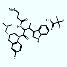 CSCCC(=O)NC(C(=O)N1C[C@@H](CN(C)C)Cc2cc(Cl)ccc21)C(C)c1c[nH]c2ccccc12.O=C(O)C(F)(F)F